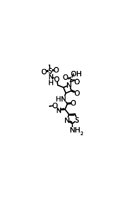 CON=C(C(=O)NC1C(=O)N(S(=O)(=O)O)C1CONS(C)(=O)=O)c1csc(N)n1